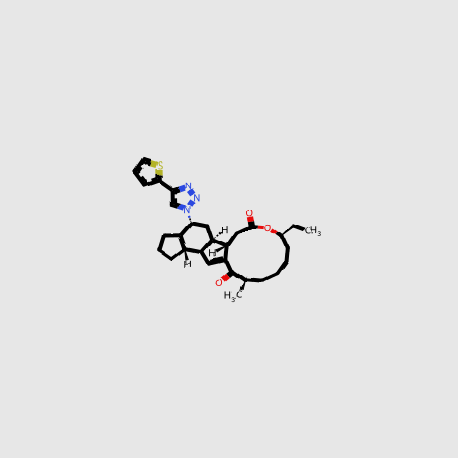 CC[C@H]1CCCC[C@@H](C)C(=O)C2=CC3[C@@H]4CCCC4[C@H](n4cc(-c5cccs5)nn4)C[C@H]3[C@@H]2CC(=O)O1